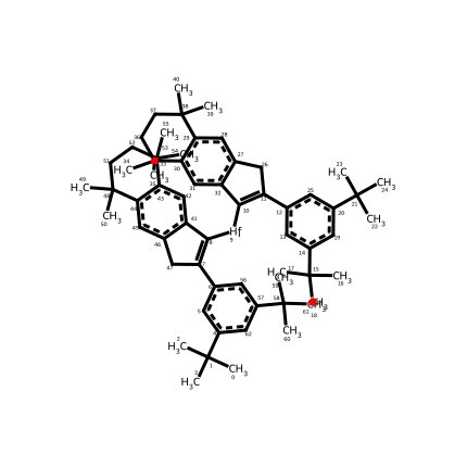 CC(C)(C)c1cc(C2=[C]([Hf][C]3=C(c4cc(C(C)(C)C)cc(C(C)(C)C)c4)Cc4cc5c(cc43)C(C)(C)CCC5(C)C)c3cc4c(cc3C2)C(C)(C)CCC4(C)C)cc(C(C)(C)C)c1